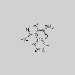 Cc1nccc(C(N)=O)c1-c1ccccc1